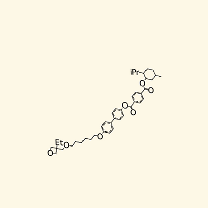 CCC1(COCCCCCCOc2ccc(-c3ccc(OC(=O)c4ccc(C(=O)OC5CC(C)CCC5C(C)C)cc4)cc3)cc2)COC1